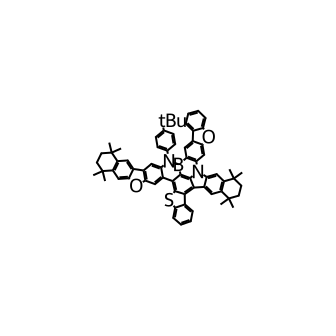 CC(C)(C)c1ccc(N2B3c4cc5c(cc4-n4c6cc7c(cc6c6c8c(sc9ccccc98)c(c3c64)-c3cc4oc6cc8c(cc6c4cc32)C(C)(C)CCC8(C)C)C(C)(C)CCC7(C)C)oc2ccccc25)cc1